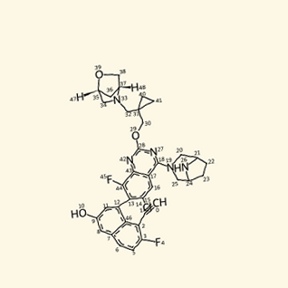 C#Cc1c(F)ccc2cc(O)cc(-c3c(Cl)cc4c(N5CC6CCC(C5)N6)nc(OCC5(CN6C[C@H]7C[C@@H]6CO7)CC5)nc4c3F)c12